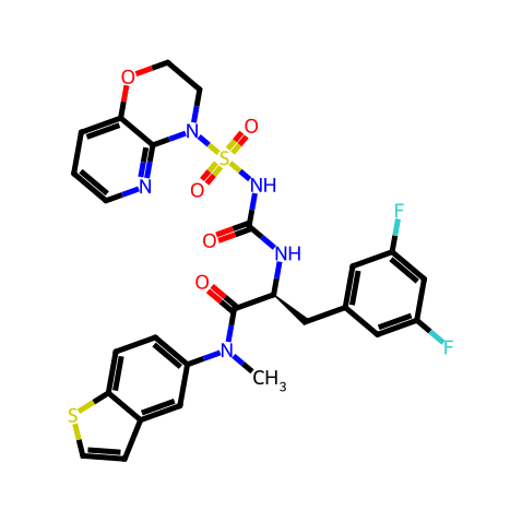 CN(C(=O)[C@H](Cc1cc(F)cc(F)c1)NC(=O)NS(=O)(=O)N1CCOc2cccnc21)c1ccc2sccc2c1